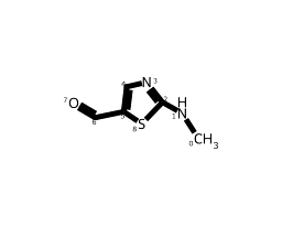 CNc1ncc(C=O)s1